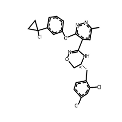 Cc1cc(C2=NOC[C@@H](Cc3ccc(Cl)cc3Cl)N2)c(Oc2cccc(C3(Cl)CC3)c2)nn1